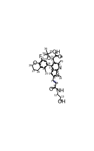 Cc1nc2c(cc(/C=C/C(=O)NCCO)n2C)c(-c2cc(F)c3c(c2C)CCCO3)c1[C@H](OC(C)(C)C)C(=O)O